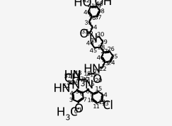 COc1ccc2c(c1)C(c1ccc(Cl)cc1)=N[C@@H](CC(=O)NCc1cccc(C3CCN(C(=O)CCc4ccc(O)c(O)c4)CC3)c1)C(=N)N2C(C)=N